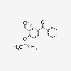 C=Cc1cc(C(=O)c2ccccc2)ccc1OC(C)C